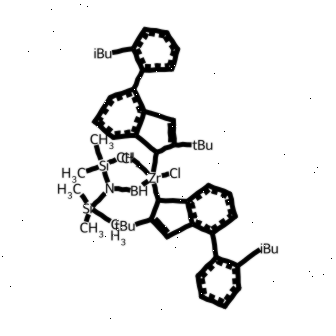 CCC(C)c1ccccc1-c1cccc2c1C=C(C(C)(C)C)[CH]2[Zr]([Cl])([Cl])([BH]N([Si](C)(C)C)[Si](C)(C)C)[CH]1C(C(C)(C)C)=Cc2c(-c3ccccc3C(C)CC)cccc21